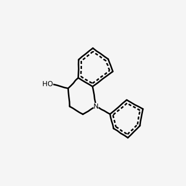 OC1CCN(c2ccccc2)c2ccccc21